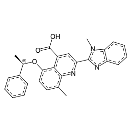 Cc1ccc(O[C@H](C)c2ccccc2)c2c(C(=O)O)cc(-c3nc4ccccc4n3C)nc12